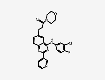 O=C(CCc1ccc2nc(-c3cccnc3)nc(Nc3ccc(F)c(Cl)c3)c2c1)N1CCOCC1